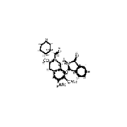 COc1cc2c(cc1OC)[C@@H](CN1C(=O)c3ccccc3C1=O)N(C(=O)[C@H]1CCCC[C@H]1C(=O)O)CC2